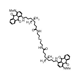 CNc1ccc(NCCC[N+](C)(C)CCCC(=O)NCCSSCCNC(=O)CCC[N+](C)(C)CCCNc2ccc(NC)c3c2C(=O)c2ccccc2C3=O)c2c1C(=O)c1ccccc1C2=O